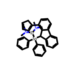 C[N](C)[Zr]([N](C)C)[Sn]([c]1ccccc1)([c]1ccccc1)[CH]1c2ccccc2-c2cccc(C3=CC=CC3)c21